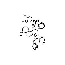 O=C(NC(CO)CO)c1ccccc1SCc1c(O[C@H](Cn2ccnc2)c2ccccc2)ccc2c1CCCC2=O